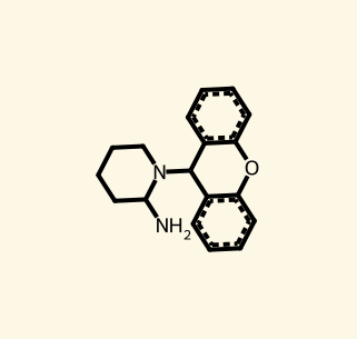 NC1CCCCN1C1c2ccccc2Oc2ccccc21